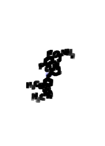 COc1cc(/C=C2\CCCN(N(CC(N)=O)c3cc(F)cc(F)c3)C2=O)ccc1-n1cnc(C)c1